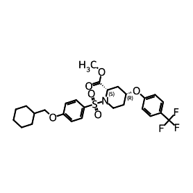 COC(=O)[C@@H]1C[C@H](Oc2ccc(C(F)(F)F)cc2)CCN1S(=O)(=O)c1ccc(OCC2CCCCC2)cc1